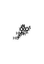 CSc1ccc(Nc2c(C(=O)NOCCO)ccc3cnsc23)c(F)c1